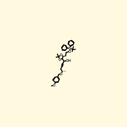 COc1ccc(CO[C@@H](C)CC#CC(O)C2OC(C)(C)O[C@H]2CCO[Si](c2ccccc2)(c2ccccc2)C(C)(C)C)cc1